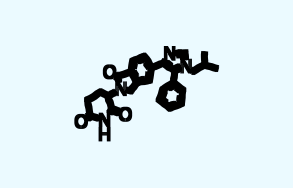 CC(C)Cn1cnc(-c2ccc3c(c2)CN(C2CCC(=O)NC2=O)C3=O)c1-c1ccccc1